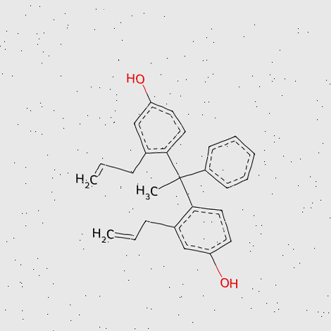 C=CCc1cc(O)ccc1C(C)(c1ccccc1)c1ccc(O)cc1CC=C